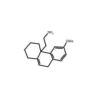 COc1ccc2c(c1)C1(CCN)CCCCC1=CC2